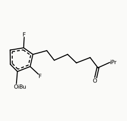 CC(C)COc1ccc(F)c(CCCCCC(=O)C(C)C)c1F